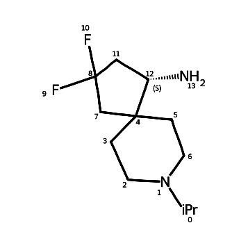 CC(C)N1CCC2(CC1)CC(F)(F)C[C@@H]2N